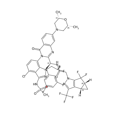 C[C@@H]1CN(c2ccc3c(=O)n(-c4ccc(Cl)c5c(NS(C)(=O)=O)nn(CC(F)(F)F)c45)c([C@H](Cc4cc(F)cc(F)c4)NC(=O)Cn4nc(C(F)(F)F)c5c4C(F)(F)[C@@H]4C[C@H]54)nc3c2)C[C@H](C)O1